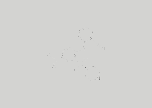 N#Cc1ccccc1Oc1ccc([N+](=O)[O-])cc1S(=O)(=O)N1CCNCC1